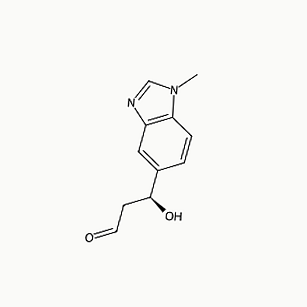 Cn1cnc2cc([C@@H](O)CC=O)ccc21